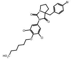 O=C(O)CCCCCOc1c(Cl)cc(N2C(=O)N3CCCC3(Cc3ccc(Br)cc3)C2=O)cc1Cl